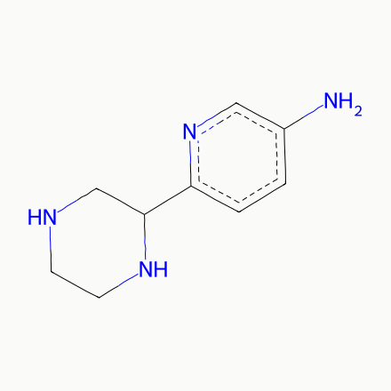 Nc1ccc(C2CNCCN2)nc1